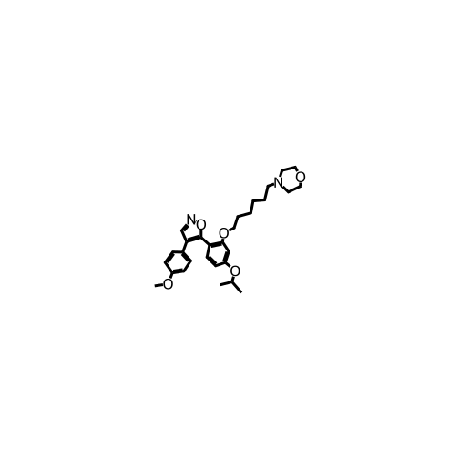 COc1ccc(-c2cnoc2-c2ccc(OC(C)C)cc2OCCCCCCN2CCOCC2)cc1